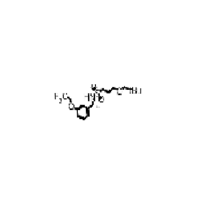 C[C@@H](NS(=O)(=O)CCCOCC(C)(C)C)c1cccc(OCC(F)(F)F)c1